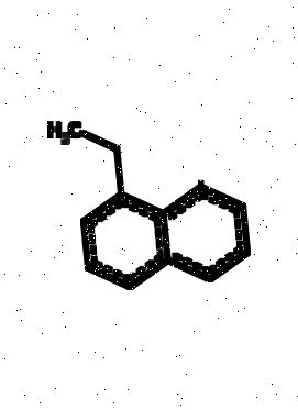 CCc1cccc2ccc[c]c12